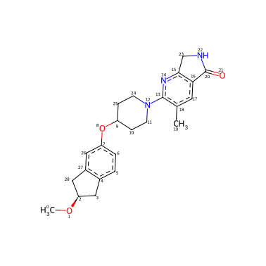 CO[C@@H]1Cc2ccc(OC3CCN(c4nc5c(cc4C)C(=O)NC5)CC3)cc2C1